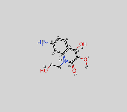 COc1c(O)c2ccc(N)cc2n(CCO)c1=O